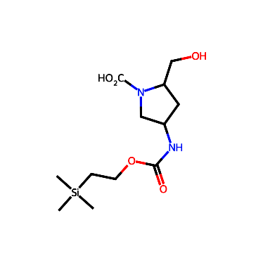 C[Si](C)(C)CCOC(=O)NC1CC(CO)N(C(=O)O)C1